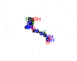 C#Cc1c(F)ccc2cc(O)cc(-c3ncc4c(N5CC6CCC(C5)N6)nc(OCC5(CN6CCC(C7CCN(c8ccc(NC9CCC(=O)NC9=O)cc8F)CC7)CC6)CC5)cc4c3F)c12